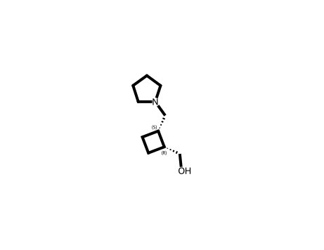 OC[C@@H]1CC[C@@H]1CN1CCCC1